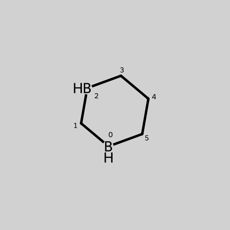 B1CBCCC1